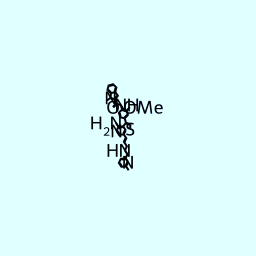 COc1cc(-c2csc3c(C=CCNCc4cccc(C)n4)cnc(N)c23)ccc1NC(=O)c1cc2ccccc2n1C